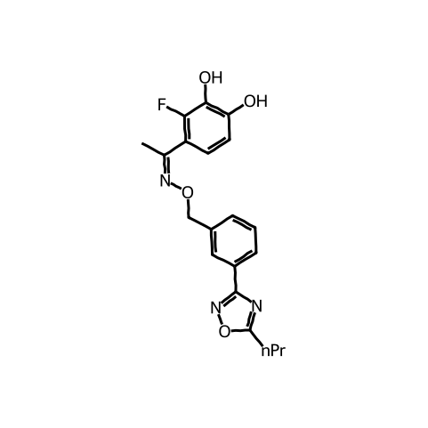 CCCc1nc(-c2cccc(CON=C(C)c3ccc(O)c(O)c3F)c2)no1